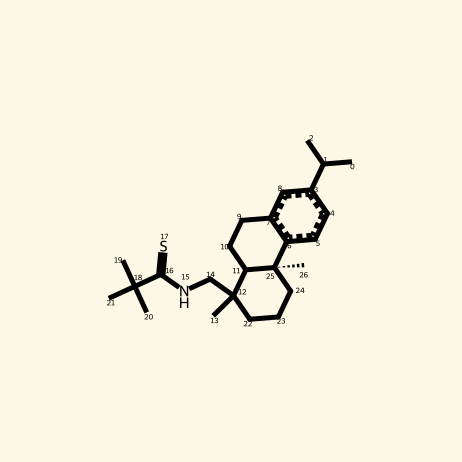 CC(C)c1ccc2c(c1)CCC1C(C)(CNC(=S)C(C)(C)C)CCC[C@]21C